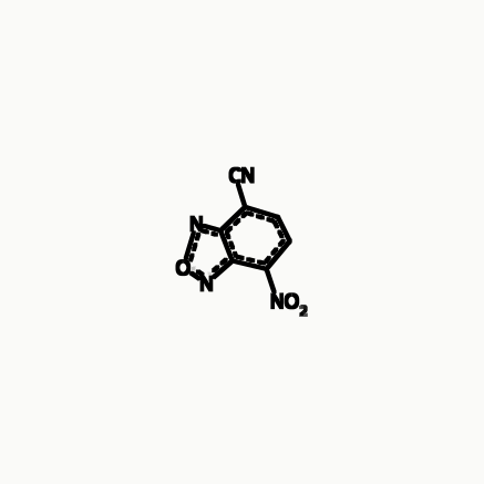 N#Cc1ccc([N+](=O)[O-])c2nonc12